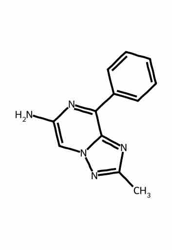 Cc1nc2c(-c3ccccc3)nc(N)cn2n1